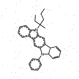 CCCC(C)(CC)n1c2ccccc2c2cc3c(cc21)C1C=CC=CC1N3c1ccccc1